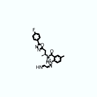 CCN(C(=O)c1cc(C)ccc1N/N=C\C=N)[C@@H](C)Cc1nnc(-c2ccc(F)cc2)o1